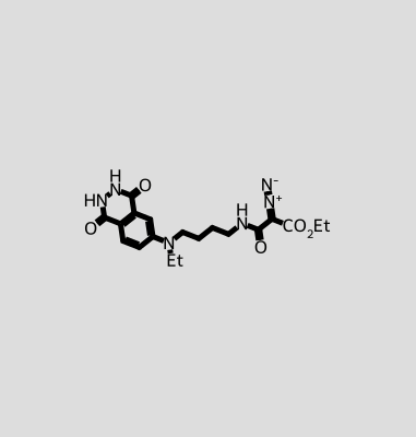 CCOC(=O)C(=[N+]=[N-])C(=O)NCCCCN(CC)c1ccc2c(=O)[nH][nH]c(=O)c2c1